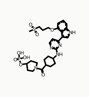 CS(=O)(=O)CCCOc1cccc2[nH]cc(-c3ccnc(NC4CCC(C(=O)N5CCC(OP(=O)(O)O)CC5)CC4)n3)c12